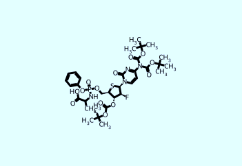 CC(NP(=O)(OC[C@H]1S[C@@H](n2ccc(N(C(=O)OC(C)(C)C)C(=O)OC(C)(C)C)nc2=O)[C@@H](F)[C@@H]1OC(=O)OC(C)(C)C)Oc1ccccc1)C(=O)O